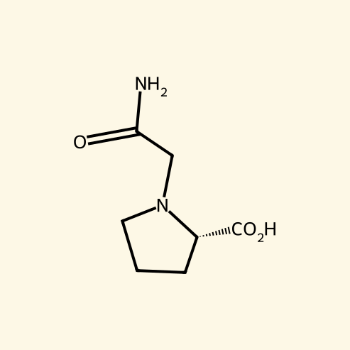 NC(=O)CN1CCC[C@H]1C(=O)O